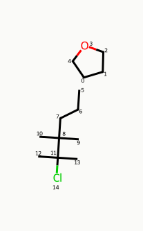 C1CCOC1.CCCC(C)(C)C(C)(C)Cl